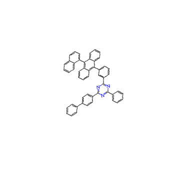 c1ccc(-c2ccc(-c3nc(-c4ccccc4)nc(-c4cccc(-c5c6ccccc6c(-c6cccc7ccccc67)c6ccccc56)c4)n3)cc2)cc1